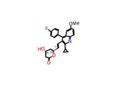 COc1ccc2nc(C3CC3)c(/C=C/[C@@H]3C[C@@H](O)CC(=O)O3)c(-c3ccc(F)cc3)c2c1